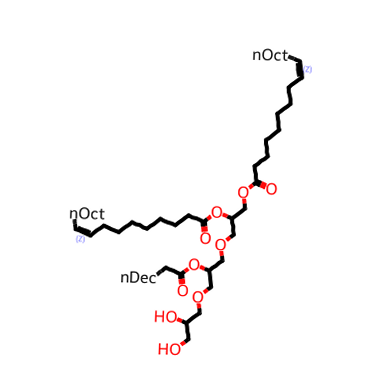 CCCCCCCC/C=C\CCCCCCCC(=O)OCC(COCC(COCC(O)CO)OC(=O)CCCCCCCCCCC)OC(=O)CCCCCCC/C=C\CCCCCCCC